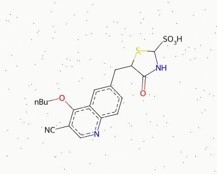 CCCCOc1c(C#N)cnc2ccc(CC3SC(S(=O)(=O)O)NC3=O)cc12